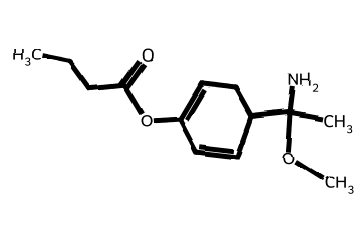 CCCC(=O)OC1=CCC(C(C)(N)OC)C=C1